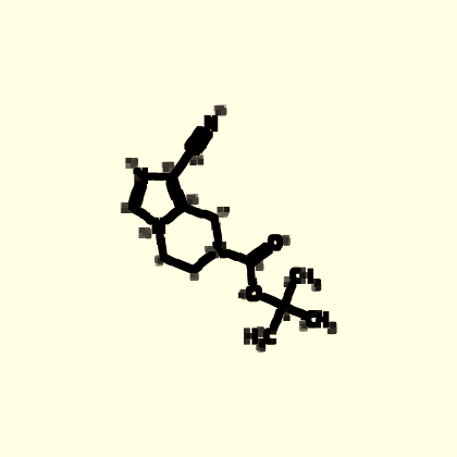 CC(C)(C)OC(=O)N1CCn2cnc(C#N)c2C1